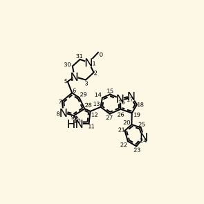 CN1CCN(Cc2cnc3[nH]cc(-c4ccn5ncc(-c6cccnc6)c5c4)c3c2)CC1